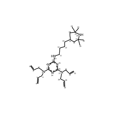 C=CCN(CC=C)c1nc(NCCCCC2CC(C)(C)NC(C)(C)C2)nc(N(CC=C)CC=C)n1